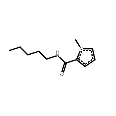 CCCCCNC(=O)c1cccn1C